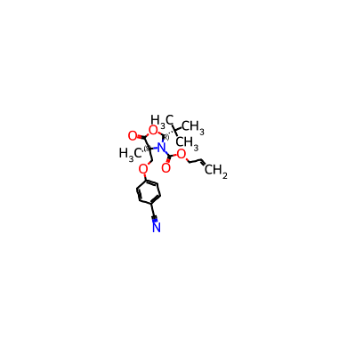 C=CCOC(=O)N1[C@@H](C(C)(C)C)OC(=O)[C@]1(C)COc1ccc(C#N)cc1